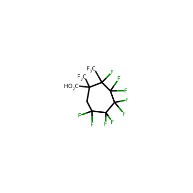 O=C(O)C1(C(F)(F)F)CC(F)(F)C(F)(F)C(F)(F)C(F)(F)C1(F)C(F)(F)F